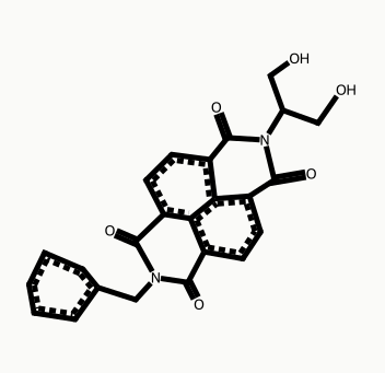 O=C1c2ccc3c4c(ccc(c24)C(=O)N1Cc1ccccc1)C(=O)N(C(CO)CO)C3=O